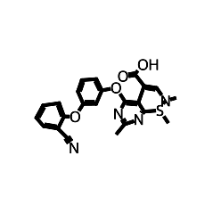 CSc1nc(C)nc(Oc2cccc(Oc3ccccc3C#N)c2)c1/C(=C\N(C)C)C(=O)O